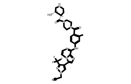 Cc1cc(Nc2nccn3c(-c4cn(CC#N)nc4C(F)(F)F)cnc23)ccc1C(=O)N1CCN(C(=O)[C@H]2CCNC[C@H]2O)CC1